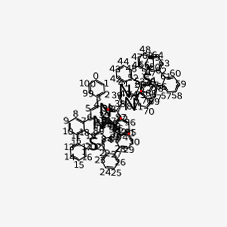 c1ccc(-c2cc(-c3cccc(-c4ccccc4)c3-c3sc(-c4ccccc4-c4cccc(-c5cccc(-c6cn(-c7cccc(-c8ccccc8)c7-c7sc(-c8ccccc8-c8ccccc8)c8ccccc78)c(-c7ccccc7)n6)c5)c4)c4ccccc34)nc(-c3ccccc3)n2)cc1